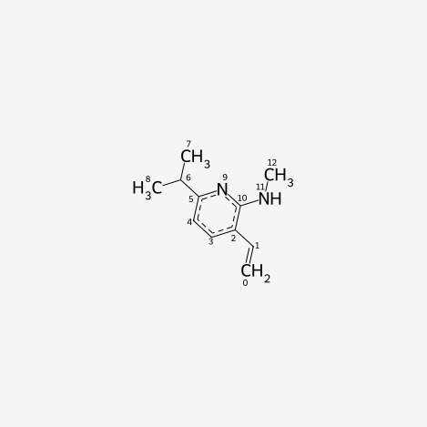 C=Cc1ccc(C(C)C)nc1NC